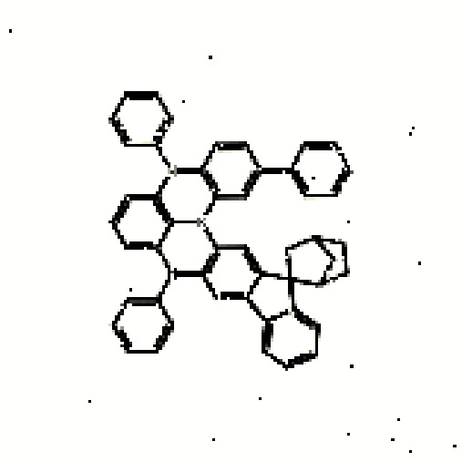 c1ccc(-c2ccc3c(c2)B2c4cc5c(cc4N(c4ccccc4)c4cccc(c42)N3c2ccccc2)-c2ccccc2C52CC3CCC2C3)cc1